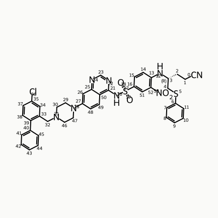 N#CCC[C@H](CSc1ccccc1)Nc1ccc(S(=O)(=O)Nc2ncnc3cc(N4CCN(Cc5cc(Cl)ccc5-c5ccccc5)CC4)ccc23)cc1[N+](=O)[O-]